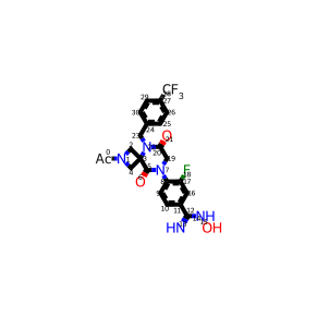 CC(=O)N1CC2(C1)C(=O)N(c1ccc(C(=N)NO)cc1F)CC(=O)N2Cc1ccc(C(F)(F)F)cc1